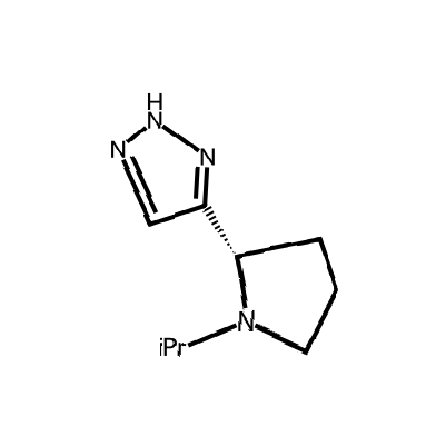 CC(C)N1CCC[C@H]1c1cn[nH]n1